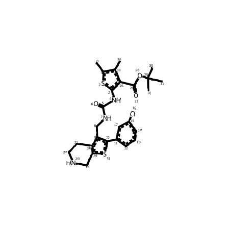 Cc1sc(NC(=O)NCc2c(-c3cccc(Cl)c3)sc3c2CCNC3)c(C(=O)OC(C)(C)C)c1C